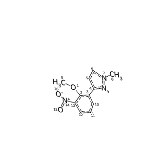 COc1c(-c2ccn(C)n2)c[c]cc1[N+](=O)[O-]